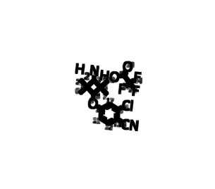 CC1(C)C(N)C(C)(C)C1Oc1ccc(C#N)c(Cl)c1.O=C(O)C(F)(F)F